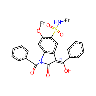 CCNS(=O)(=O)c1cc2c(cc1OCC)N(C(=O)c1ccccc1)C(=O)/C2=C(\O)c1ccccc1